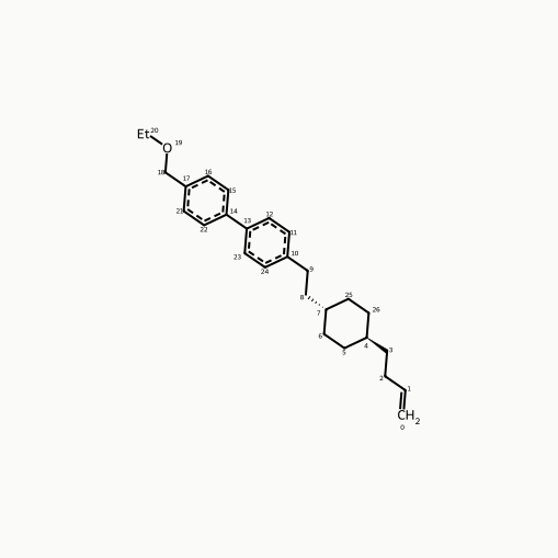 C=CCC[C@H]1CC[C@H](CCc2ccc(-c3ccc(COCC)cc3)cc2)CC1